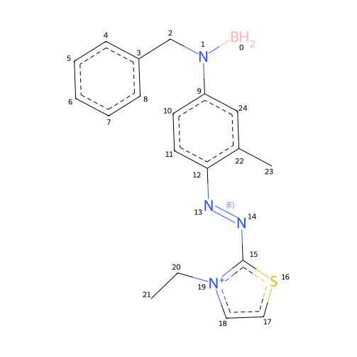 BN(Cc1ccccc1)c1ccc(/N=N/c2scc[n+]2CC)c(C)c1